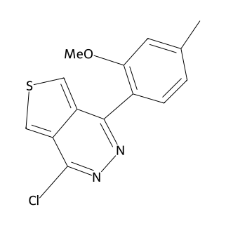 COc1cc(C)ccc1-c1nnc(Cl)c2cscc12